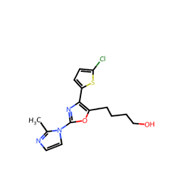 Cc1nccn1-c1nc(-c2ccc(Cl)s2)c(CCCCO)o1